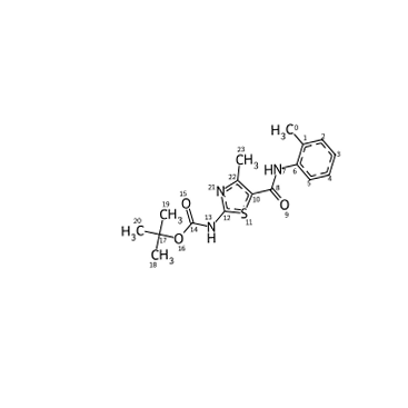 Cc1ccccc1NC(=O)c1sc(NC(=O)OC(C)(C)C)nc1C